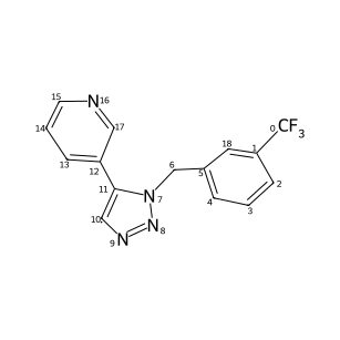 FC(F)(F)c1cccc(Cn2nn[c]c2-c2cccnc2)c1